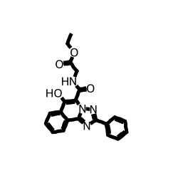 CCOC(=O)CNC(=O)c1c(O)c2ccccc2c2nc(-c3ccccc3)nn12